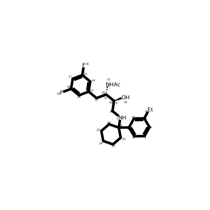 CCc1cccc(C2(NC[C@H](O)[C@H](Cc3cc(F)cc(F)c3)NC(C)=O)CCCCC2)c1